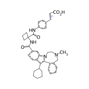 CN1CCn2c(c(C3CCCCC3)c3ccc(C(=O)NC4(C(=O)Nc5ccc(/C=C/C(=O)O)cc5)CCC4)cc32)-c2ccccc2C1